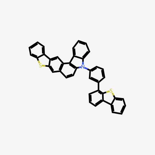 c1cc(-c2cccc3c2sc2ccccc23)cc(-n2c3ccccc3c3c4cc5c(cc4ccc32)sc2ccccc25)c1